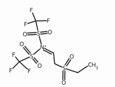 CCS(=O)(=O)CC=[N+](S(=O)(=O)C(F)(F)F)S(=O)(=O)C(F)(F)F